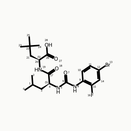 CC(C)C[C@H](NC(=O)Nc1ccc(Br)cc1F)C(=O)N[C@@H](CC(C)(C)C)C(=O)O